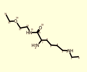 CCNCCCCC(N)C(=O)NCCOCC